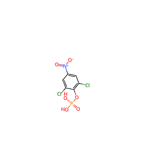 O=[N+]([O-])c1cc(Cl)c(OP(=O)(O)O)c(Cl)c1